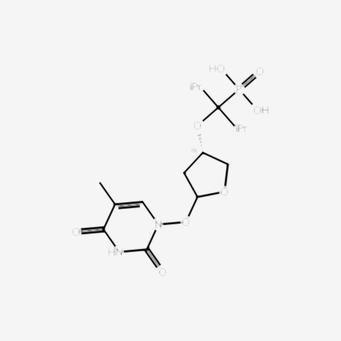 Cc1cn(OC2C[C@H](OC(C(C)C)(C(C)C)P(=O)(O)O)CO2)c(=O)[nH]c1=O